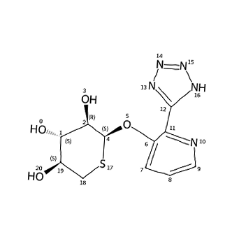 O[C@@H]1[C@@H](O)[C@@H](Oc2cccnc2-c2nnn[nH]2)SC[C@H]1O